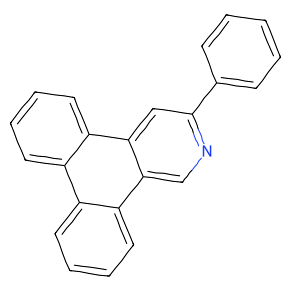 c1ccc(-c2cc3c4ccccc4c4ccccc4c3cn2)cc1